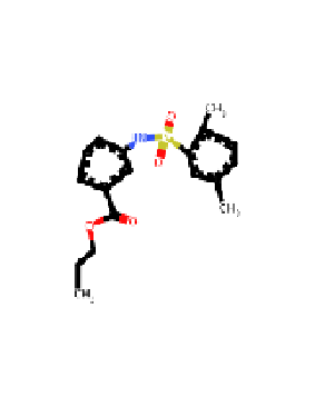 CCCOC(=O)c1cccc(NS(=O)(=O)c2cc(C)ccc2C)c1